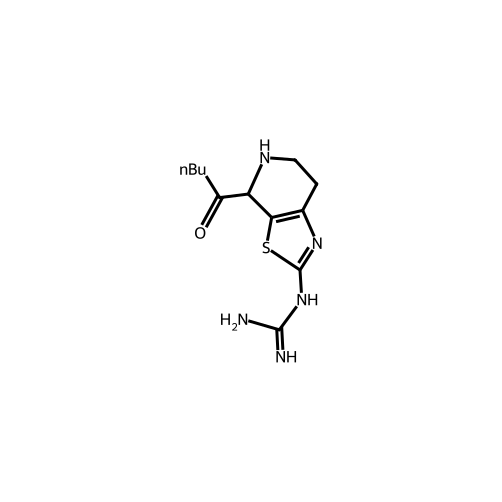 CCCCC(=O)C1NCCc2nc(NC(=N)N)sc21